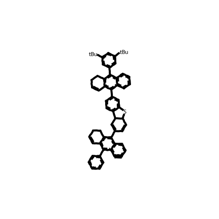 CC(C)(C)c1cc(-c2c3c(c(-c4ccc5c(c4)SC4C=CC(c6c7c(c(-c8ccccc8)c8c#cccc68)C=CCC7)=CC54)c4ccccc24)C=CCC3)cc(C(C)(C)C)c1